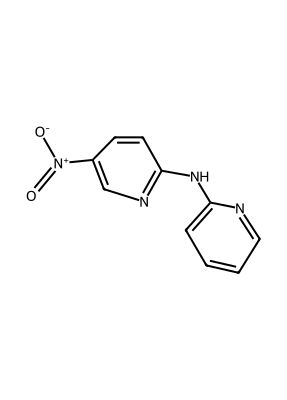 O=[N+]([O-])c1ccc(Nc2ccccn2)nc1